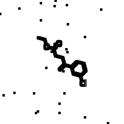 C=C(CCC(=O)OCC)c1cccc(Cl)c1